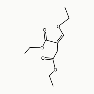 CCOC=C(CC(=O)OCC)C(=O)OCC